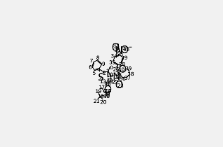 CC(C(=S)c1ccccc1)[C@@H]1[C@@H]([C@@H](C)O[Si](C)(C)C(C)(C)C)C(=O)N1C1(Cc2ccc([N+](=O)[O-])cc2)CCCCO1